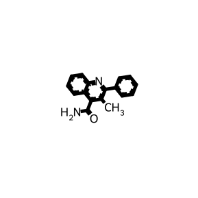 Cc1c(-c2ccccc2)nc2ccccc2c1C(N)=O